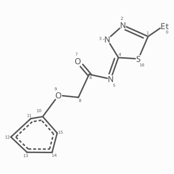 CCC1=N[N]C(=NC(=O)COc2ccccc2)S1